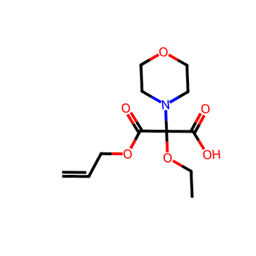 C=CCOC(=O)C(OCC)(C(=O)O)N1CCOCC1